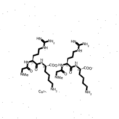 CNCC(=O)N[C@@H](CCCNC(=N)N)C(=O)N[C@@H](CCCCN)C(=O)[O-].CNCC(=O)N[C@@H](CCCNC(=N)N)C(=O)N[C@@H](CCCCN)C(=O)[O-].[Cu+2]